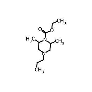 CCCN1CC(C)N(C(=O)OCC)C(C)C1